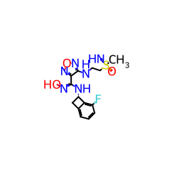 CS(=N)(=O)CCNc1nonc1/C(=N\O)N[C@H]1Cc2cccc(F)c21